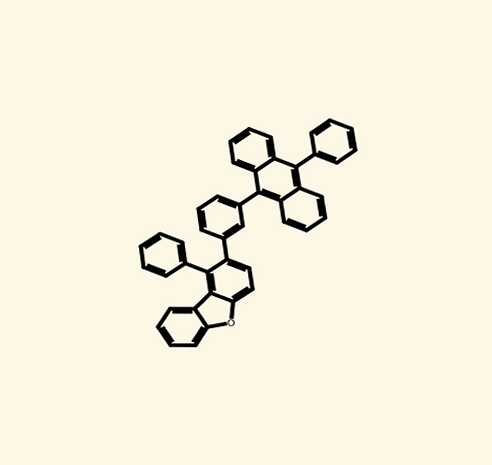 c1ccc(-c2c3ccccc3c(-c3cccc(-c4ccc5oc6ccccc6c5c4-c4ccccc4)c3)c3ccccc23)cc1